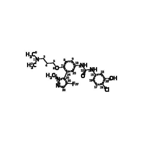 CN(C)CCCOc1ccc(NC(=O)Nc2ccc(Cl)c(O)c2)cc1-c1c(F)cnn1C